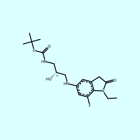 CCN1C(=O)Cc2cc(NC[C@H](O)CNC(=O)OC(C)(C)C)cc(F)c21